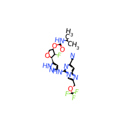 CC(C)NC(=O)O[C@@H]1CO[C@H](c2cc(Nc3nc(C#N)cc4nc(COC(F)(F)F)cn34)n[nH]2)[C@@H]1F